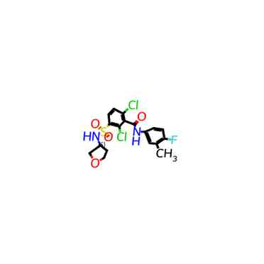 Cc1cc(NC(=O)c2c(Cl)ccc(S(=O)(=O)N[C@H]3CCOC3)c2Cl)ccc1F